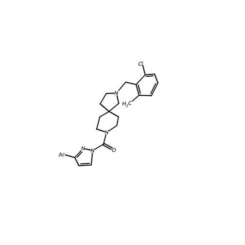 CC(=O)c1ccn(C(=O)N2CCC3(CCN(Cc4c(C)cccc4Cl)C3)CC2)n1